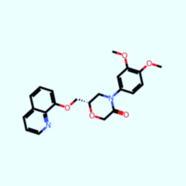 COc1ccc(N2C[C@@H](COc3cccc4cccnc34)OCC2=O)cc1OC